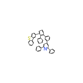 c1ccc(-c2cc(-c3cccc(-c4cccc(-c5ccc6sc7ccccc7c6c5)c4-c4ccccc4)c3)cc(-c3ccccc3)n2)cc1